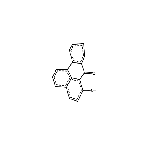 O=C1c2ccccc2-c2cccc3ccc(O)c1c23